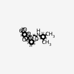 Cc1cc(C)cc(NC(=O)CN2C(=O)C3(COc4cc5c(cc43)OCO5)c3ccccc32)c1